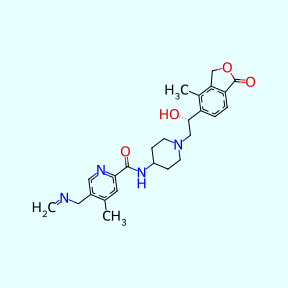 C=NCc1cnc(C(=O)NC2CCN(C[C@H](O)c3ccc4c(c3C)COC4=O)CC2)cc1C